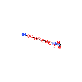 [N-]=[N+]=NCCOCCOCCOCCOCCOCCOCCOCCNC(=O)CCN1C(=O)C=CC1=O